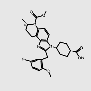 COC(=O)N1c2ccc3c(nc(Cc4cc(F)ccc4OC)n3[C@H]3CC[C@H](C(=O)O)CC3)c2CC[C@@H]1C